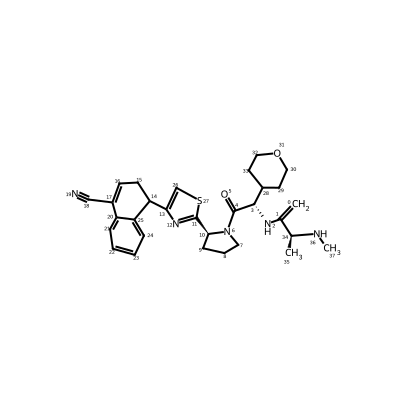 C=C(N[C@H](C(=O)N1CCC[C@H]1c1nc(C2CC=C(C#N)c3ccccc32)cs1)C1CCOCC1)[C@H](C)NC